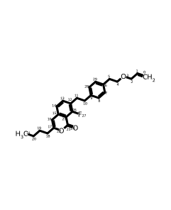 C=CCOCCc1ccc(CCc2ccc3cc(CCCC)oc(=O)c3c2F)cc1